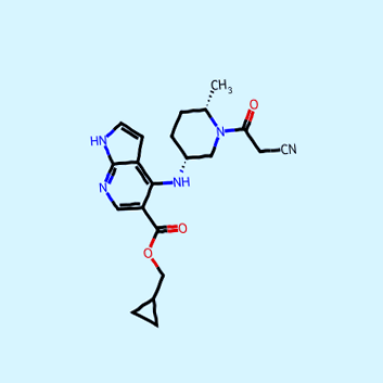 C[C@H]1CC[C@@H](Nc2c(C(=O)OCC3CC3)cnc3[nH]ccc23)CN1C(=O)CC#N